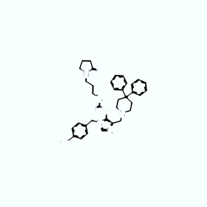 O=C(NCCCN1CCCC1=O)Oc1c(CN2CCC(c3ccccc3)(c3ccccc3)CC2)ncn1Cc1ccc(Cl)cc1